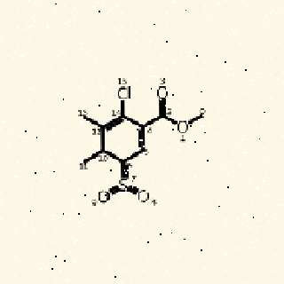 COC(=O)C1=CC(=S(=O)=O)C(C)C(C)=C1Cl